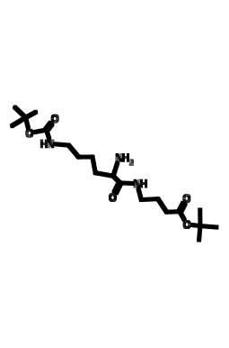 CC(C)(C)OC(=O)CCCNC(=O)C(N)CCCCNC(=O)OC(C)(C)C